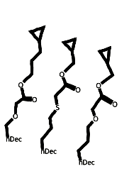 CCCCCCCCCCCCCOCC(=O)OCC1CC1.CCCCCCCCCCCCCSCC(=O)OCC1CC1.CCCCCCCCCCCOCC(=O)OCCCC1CC1